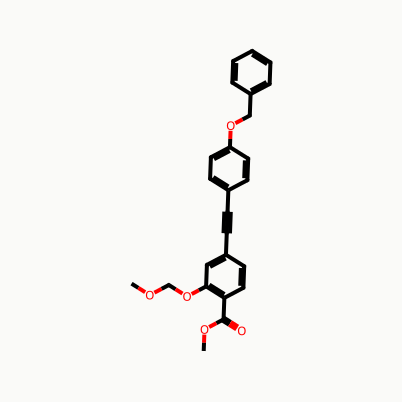 COCOc1cc(C#Cc2ccc(OCc3ccccc3)cc2)ccc1C(=O)OC